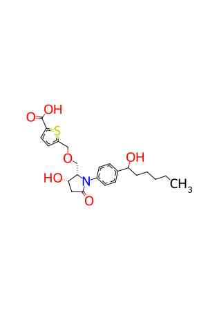 CCCCCC(O)c1ccc(N2C(=O)C[C@H](O)[C@@H]2COCc2ccc(C(=O)O)s2)cc1